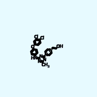 Cc1nc(Nc2ccc(Oc3ccc(Cl)c(Cl)c3)cc2)nc(N2CCN(CCO)CC2)n1